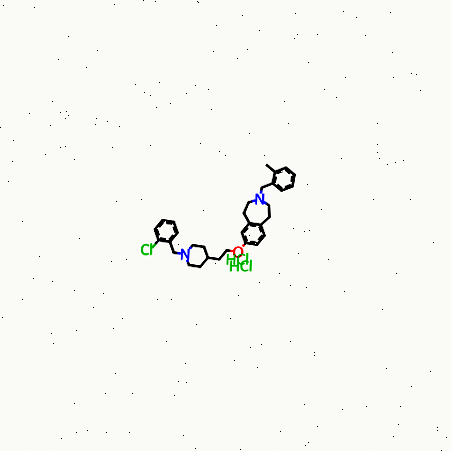 Cc1ccccc1CN1CCc2ccc(OCCC3CCN(Cc4ccccc4Cl)CC3)cc2CC1.Cl.Cl